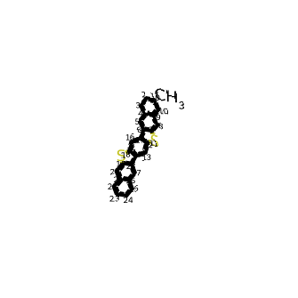 Cc1ccc2cc3c(cc2c1)sc1cc2c(cc13)sc1cc3ccccc3cc12